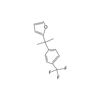 CC(C)(c1ccc(C(F)(F)F)cc1)c1ccco1